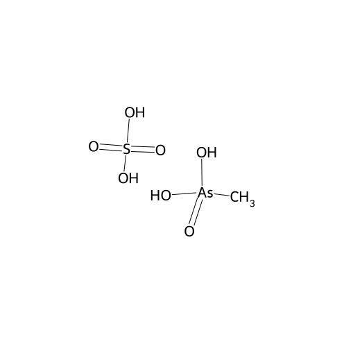 C[As](=O)(O)O.O=S(=O)(O)O